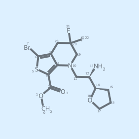 COC(=O)c1sc(Br)c2c1N(C[C@@H](N)[C@H]1CCCO1)CC(F)(F)C2